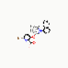 CC1CC(C)(C)N(CCOc2ccc(Br)nc2C(=O)O)c2ccccc21